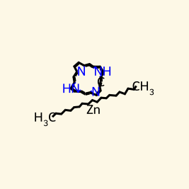 C1=Cc2cc3ccc(cc4nc(cc5ccc(cc1n2)[nH]5)C=C4)[nH]3.CCCCCCCCCCC[CH]([Zn])CCCCCCCC